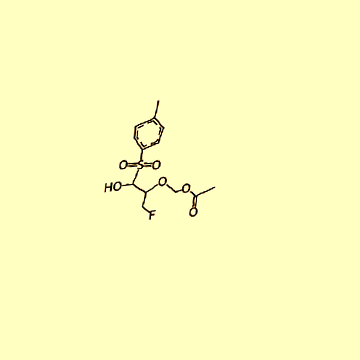 CC(=O)OCOC(CF)C(O)S(=O)(=O)c1ccc(C)cc1